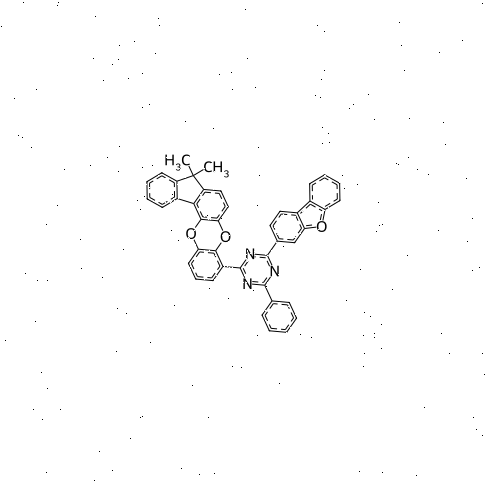 CC1(C)c2ccccc2-c2c1ccc1c2Oc2cccc(-c3nc(-c4ccccc4)nc(-c4ccc5c(c4)oc4ccccc45)n3)c2O1